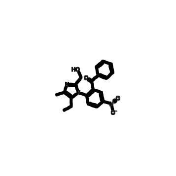 CCc1c(C)nc(CO)n1-c1ccc([N+](=O)[O-])cc1C(=O)c1ccccc1